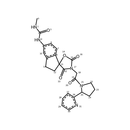 CNC(=O)Nc1ccc2c(c1)CCC21OC(=O)N(CC(=O)N2CCCC2c2ccccn2)C1=O